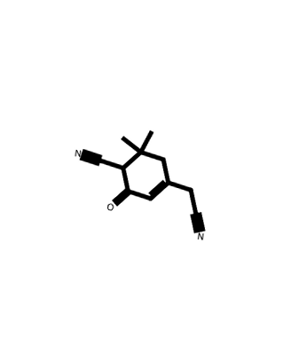 CC1(C)CC(CC#N)=CC(=O)C1C#N